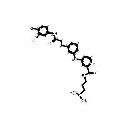 CN(C)CCCNC(=O)c1cc(Oc2cccc(CCC(=O)Nc3ccc(Cl)c(C(F)(F)F)c3)c2)ccn1